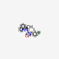 C[C@@H](NCC1COCCN1Cc1cccc(CF)c1)c1cccc2ccccc12